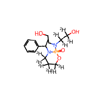 [2H]C([2H])(O)C([2H])([2H])N(CCO)P1(=O)OC([2H])([2H])C([2H])([2H])C([2H])([2H])N1C(C)c1ccccc1